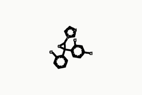 Clc1ccc(C2(c3ccccc3Cl)OC2n2ccnc2)c(Cl)c1